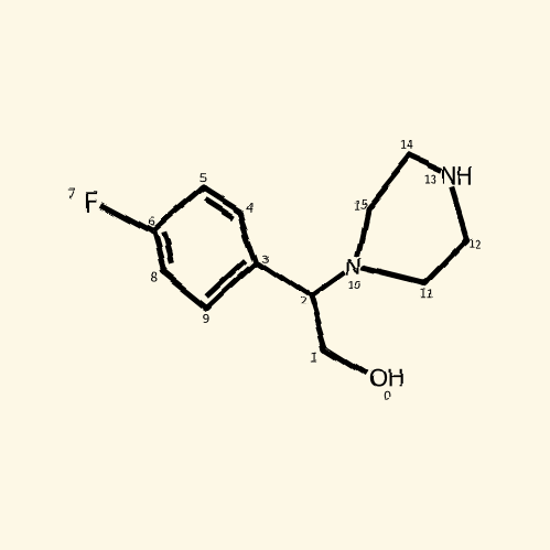 OCC(c1ccc(F)cc1)N1CCNCC1